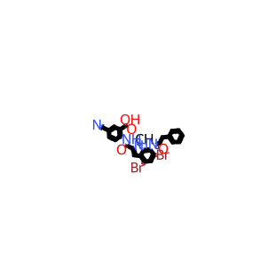 Cn1c(C(=O)Nc2ccc(C#N)cc2C(=O)O)cc2c(Br)cc(Br)c(NC(=O)Cc3ccccc3)c21